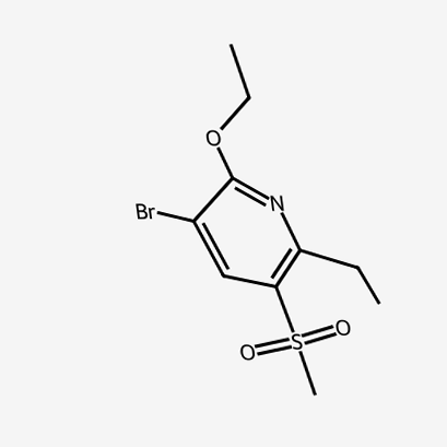 CCOc1nc(CC)c(S(C)(=O)=O)cc1Br